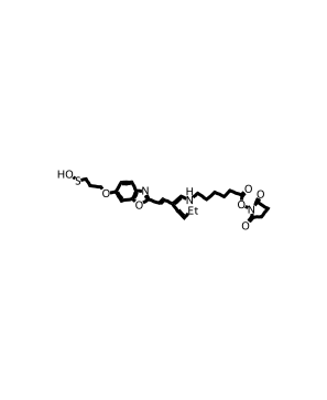 CC\C=C/C(/C=C/c1nc2ccc(OCCCSO)cc2o1)=C\NCCCCCC(=O)ON1C(=O)CCC1=O